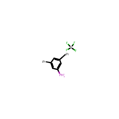 CC(C)c1cc([PH3+])cc(C(C)C)c1.F[B-](F)(F)F